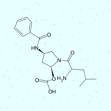 CC(C)CC(N)C(=O)N1C[C@H](NC(=O)c2ccccc2)C[C@@H]1OC(=O)O